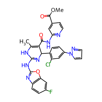 COC(=O)c1ccnc(NC(=O)C2=C(C)NC(Nc3nc4ccc(F)cc4o3)=NC2c2ccc(-n3cccn3)cc2Cl)c1